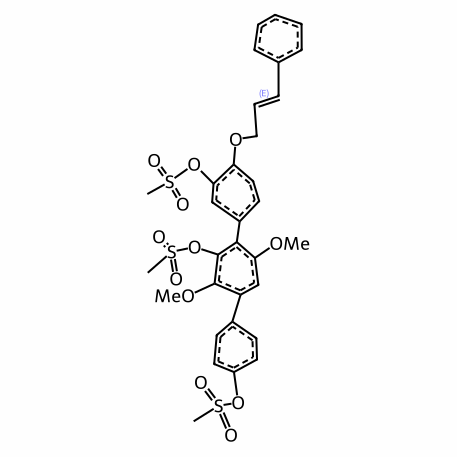 COc1cc(-c2ccc(OS(C)(=O)=O)cc2)c(OC)c(OS(C)(=O)=O)c1-c1ccc(OC/C=C/c2ccccc2)c(OS(C)(=O)=O)c1